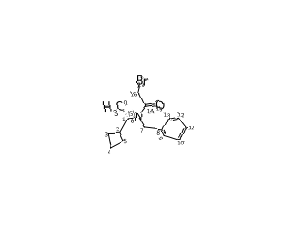 C[C@@H](C1CCC1)N(Cc1ccccc1)C(=O)CBr